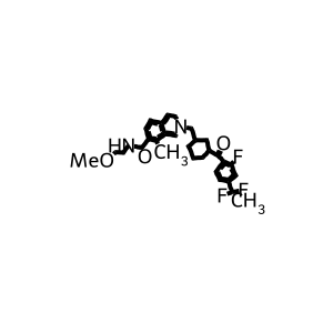 COCCNC(=O)c1ccc2c(c1C)=CN(CC1CCCC(C(=O)c3ccc(C(C)(F)F)cc3F)C1)CC=2